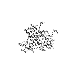 CN[C@@H](CCCCN)C(=O)N[C@@H](Cc1cnc[nH]1)C(=O)NC(CC(C)C)C(=O)N[C@@H](C)C(=O)N[C@@H](CCCCN)C(=O)N[C@@H](C)C(=O)N[C@@H](CC(C)C)C(=O)N[C@@H](C)C(=O)N[C@@H](CCCCN)C(=O)N[C@@H](C)C(=O)N[C@@H](CC(C)C)C(=O)N[C@@H](CCCCN)C(=O)N[C@@H](C)C(=O)N[C@@H](CS)C(=O)N[C@@H](CCC(=O)O)C(=O)N[C@@H](C)C(=O)O